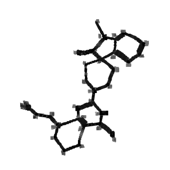 CN1C(=O)C2(CCN(c3nc4c(c(=O)[nH]3)CCCN4CCO)CC2)c2ccccc21